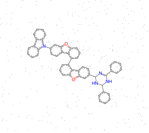 c1ccc(C2=NC(c3ccc4c(c3)oc3cccc(-c5cccc6oc7cc(-n8c9ccccc9c9ccccc98)ccc7c56)c34)NC(c3ccccc3)N2)cc1